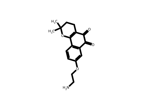 CC1(C)CCC2=C(O1)c1ccc(OCCN)cc1C(=O)C2=O